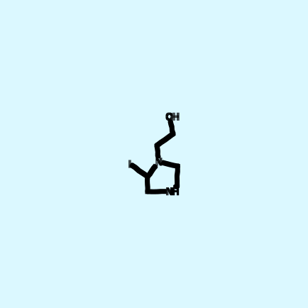 OCCN1CCNCC1I